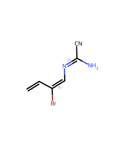 C=C/C(Br)=C\N=C(/N)C#N